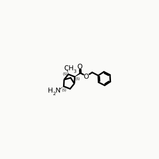 C[C@H]1C2CC(C[C@@H]2N)[C@@H]1C(=O)OCc1ccccc1